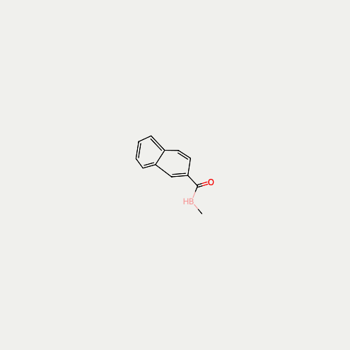 CBC(=O)c1ccc2ccccc2c1